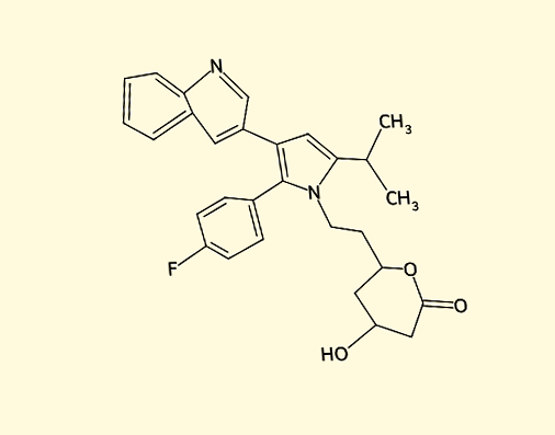 CC(C)c1cc(-c2cnc3ccccc3c2)c(-c2ccc(F)cc2)n1CCC1CC(O)CC(=O)O1